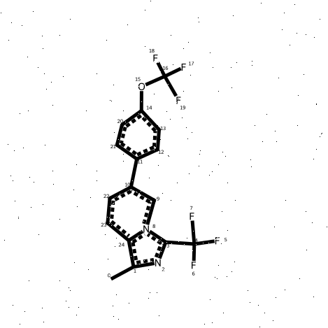 Cc1nc(C(F)(F)F)n2cc(-c3ccc(OC(F)(F)F)cc3)ccc12